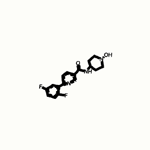 O=C(NC1CCN(O)CC1)c1ccc(-c2cc(F)ccc2F)nc1